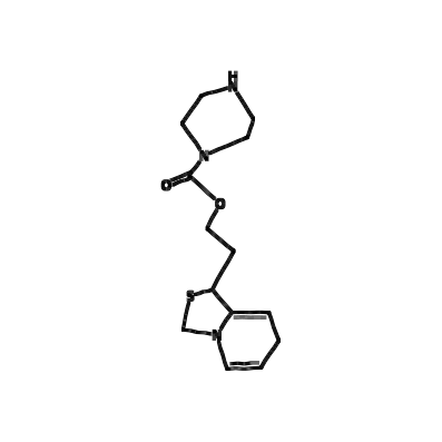 O=C(OCCC1SCN2C=CCC=C12)N1CCNCC1